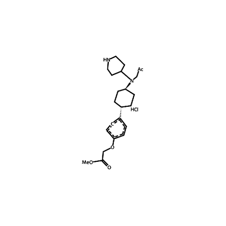 COC(=O)COc1ccc([C@H]2CC[C@H](N(CC(C)=O)C3CCNCC3)CC2)cc1.Cl